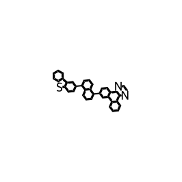 c1ccc2c(c1)sc1ccc(-c3cccc4c(-c5ccc6c(c5)c5ccccc5c5nccnc65)cccc34)cc12